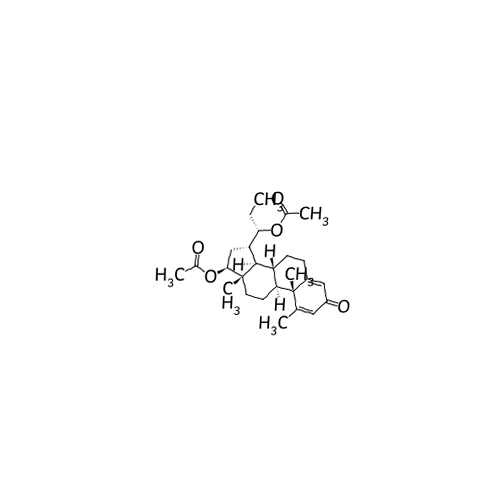 CC[C@H](OC(C)=O)[C@H]1C[C@H](OC(C)=O)[C@@]2(C)CC[C@H]3[C@@H](CCC4=CC(=O)C=C(C)[C@@]43C)[C@H]12